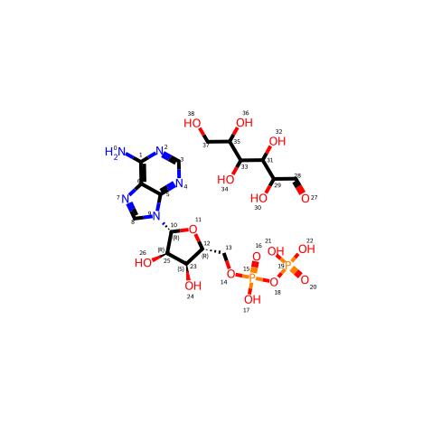 Nc1ncnc2c1ncn2[C@@H]1O[C@H](COP(=O)(O)OP(=O)(O)O)[C@@H](O)[C@H]1O.O=CC(O)C(O)C(O)C(O)CO